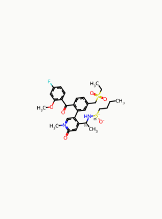 CCCC[S@+]([O-])N[C@@H](C)c1cc(=O)n(C)cc1-c1cc(CS(=O)(=O)CC)ccc1C(=O)c1ccc(F)cc1OC